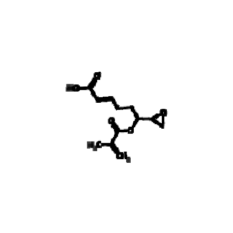 C=C(C)C(=O)OC(CCC=CC(=O)O)C1CO1